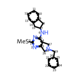 CSc1nc2c(c(NC3Cc4ccccc4C3)n1)CN(Cc1ccccc1)C2